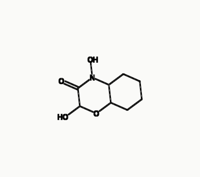 O=C1C(O)OC2CCCCC2N1O